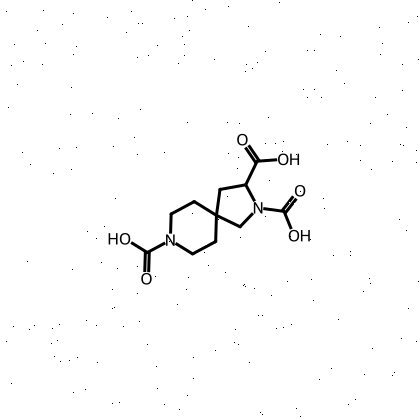 O=C(O)C1CC2(CCN(C(=O)O)CC2)CN1C(=O)O